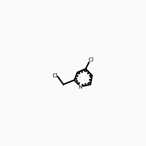 Cl[CH]c1cc(Cl)ccn1